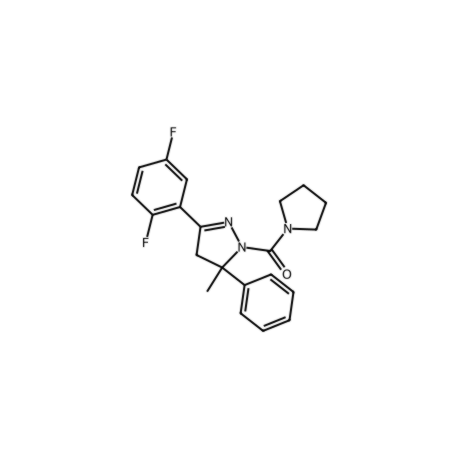 CC1(c2ccccc2)CC(c2cc(F)ccc2F)=NN1C(=O)N1CCCC1